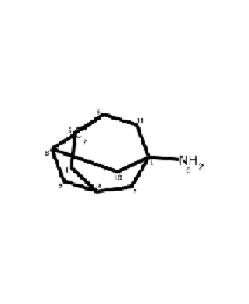 NC12CC3CCC(CC(C3)C1)C2